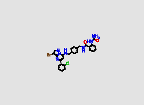 NC(=O)Nc1ccccc1C(=O)NCc1ccc(CNc2cc(-c3ccccc3Cl)nc3c(Br)cnn23)cc1